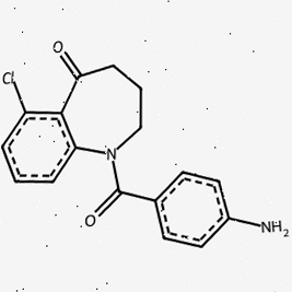 Nc1ccc(C(=O)N2CCCC(=O)c3c(Cl)cccc32)cc1